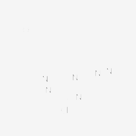 COc1ccc(Cn2cc3nc(-c4cccnn4)nc(Cl)c3n2)cc1